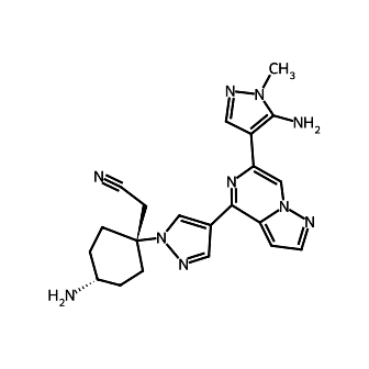 Cn1ncc(-c2cn3nccc3c(-c3cnn([C@]4(CC#N)CC[C@H](N)CC4)c3)n2)c1N